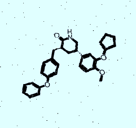 COc1ccc([C@H]2CNC(=O)[C@H](Cc3ccc(Oc4ccccc4)cc3)C2)cc1OC1CCCC1